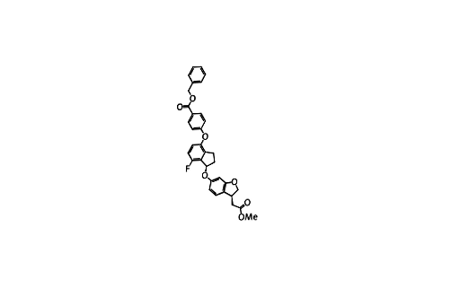 COC(=O)C[C@@H]1COc2cc(O[C@@H]3CCc4c(Oc5ccc(C(=O)OCc6ccccc6)cc5)ccc(F)c43)ccc21